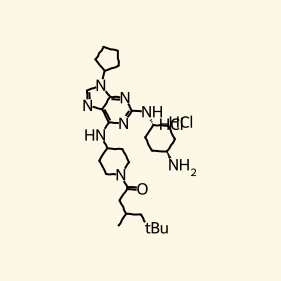 CC(CC(=O)N1CCC(Nc2nc(N[C@H]3CC[C@H](N)CC3)nc3c2ncn3C2CCCC2)CC1)CC(C)(C)C.Cl.Cl